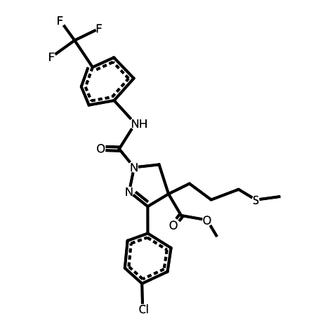 COC(=O)C1(CCCSC)CN(C(=O)Nc2ccc(C(F)(F)F)cc2)N=C1c1ccc(Cl)cc1